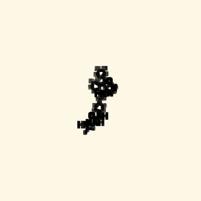 Cc1cc(NC(=O)Nc2ccc(CCNc3ncnc4oc(-c5ccccc5)c(-c5ccccc5)c34)cc2)n[nH]1